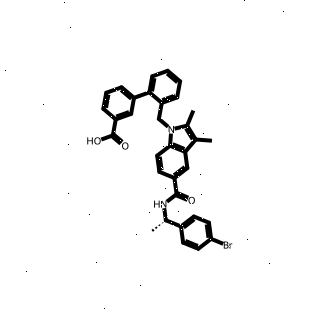 Cc1c(C)n(Cc2ccccc2-c2cccc(C(=O)O)c2)c2ccc(C(=O)N[C@@H](C)c3ccc(Br)cc3)cc12